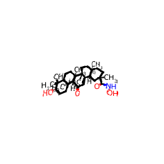 CC1(C)C2CC[C@]3(C)[C@H](C(=O)C=C4[C@H]5C[C@@](C)(C(=O)NO)CC[C@]5(C)CC[C@]43C)[C@@]2(C)CC[C@@H]1O